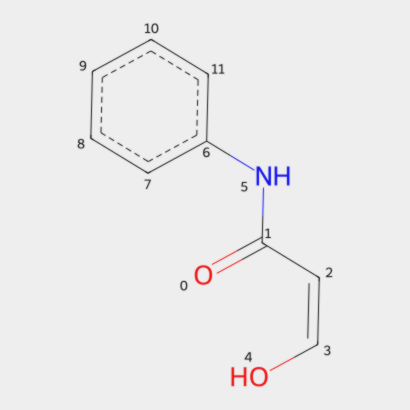 O=C(/C=C\O)Nc1ccccc1